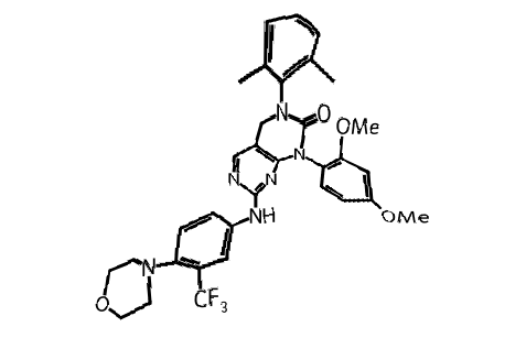 COc1ccc(N2C(=O)N(c3c(C)cccc3C)Cc3cnc(Nc4ccc(N5CCOCC5)c(C(F)(F)F)c4)nc32)c(OC)c1